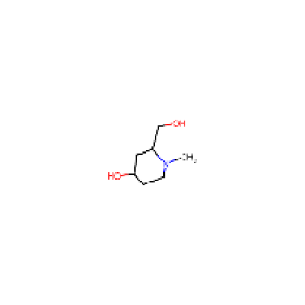 CN1CCC(O)CC1CO